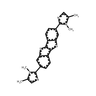 Cc1cnc(-c2ccc3c(c2)sc2c4ccc(-c5ncc(C)n5C)cc4sc32)n1C